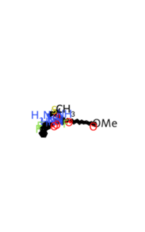 COC(=O)CCCCCCCCCOC[C@@]1(F)C[C@@H](C(=O)N[C@H](C)c2cc(C(=N)N)cs2)N(C(=O)CNC(=O)c2ccc3c(c2)-c2ccccc2C3(F)F)C1